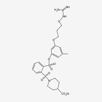 CCOC(=O)C1CCN(S(=O)(=O)c2ccccc2S(=O)(=O)Oc2cc(C)cc(OCCCONC(=N)N)c2)CC1